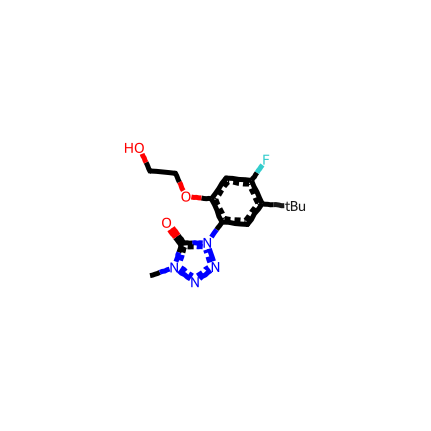 Cn1nnn(-c2cc(C(C)(C)C)c(F)cc2OCCO)c1=O